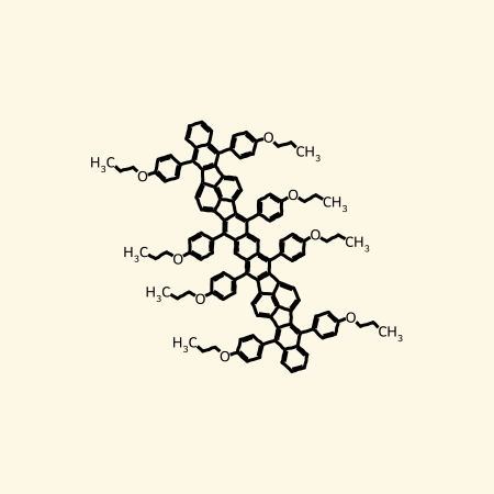 CCCOc1ccc(-c2c3c(c(-c4ccc(OCCC)cc4)c4ccccc24)-c2ccc4c5c(ccc-3c25)-c2c-4c(-c3ccc(OCCC)cc3)c3cc4c(-c5ccc(OCCC)cc5)c5c(c(-c6ccc(OCCC)cc6)c4cc3c2-c2ccc(OCCC)cc2)-c2ccc3c4c(ccc-5c24)-c2c-3c(-c3ccc(OCCC)cc3)c3ccccc3c2-c2ccc(OCCC)cc2)cc1